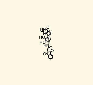 Cc1nc2c(ncn2[C@@H]2O[C@H](CNC(=O)CN3C(=O)c4ccccc4C3=O)[C@H](O)C2O)c(=O)[nH]1